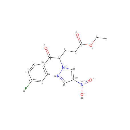 CCOC(=O)CCC(C(=O)c1ccc(F)cc1)n1cc([N+](=O)[O-])cn1